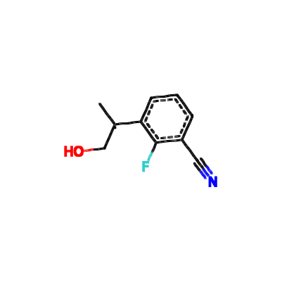 C[C](CO)c1cccc(C#N)c1F